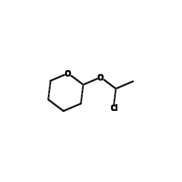 CC(Cl)OC1CCCCO1